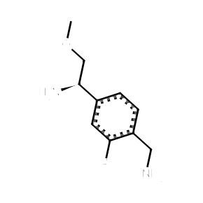 COC[C@H](N)c1ccc(CN)c(F)c1